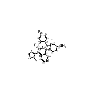 Cn1nccc1-c1nnc(N2CCC(N)CC2(I)Cc2ccc(F)cc2C(F)(F)F)c2cnccc12